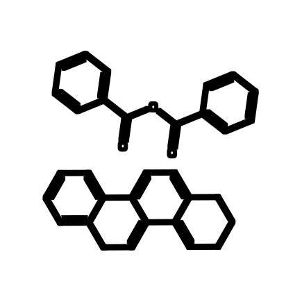 C1=c2c(ccc3c2=CCc2ccccc2-3)CCC1.O=C(OC(=O)c1ccccc1)c1ccccc1